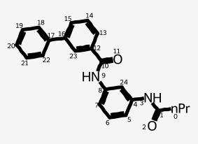 CCCC(=O)Nc1cccc(NC(=O)c2cccc(-c3ccccc3)c2)c1